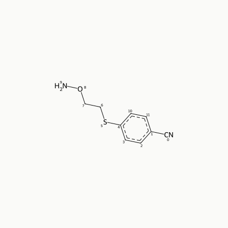 N#Cc1ccc(SCCON)cc1